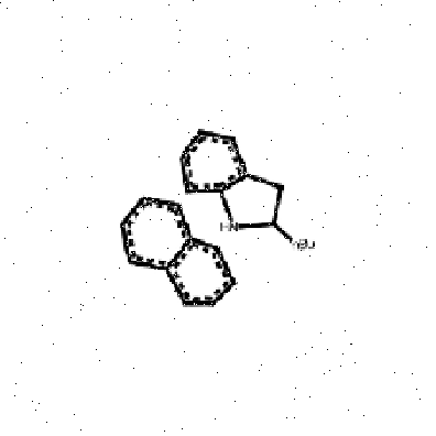 CCCCC1Cc2ccccc2N1.c1ccc2ccccc2c1